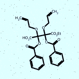 C=CCOC(OC(=O)c1ccccc1)(C(=O)O)C(OCC=C)(OC(=O)c1ccccc1)C(=O)OCC